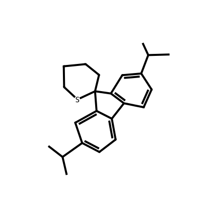 CC(C)c1ccc2c(c1)C1(CCCCS1)c1cc(C(C)C)ccc1-2